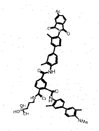 CNc1ccc(-c2ccc(NC(=O)c3cc(C(=O)Nc4ccc(-c5ccc(N6C(=O)c7ccc(C(C)=O)cc7C6=O)c(C)c5)cc4C)ccc3C(=O)NCCC[Si](O)(O)O)c(C)c2)cc1C